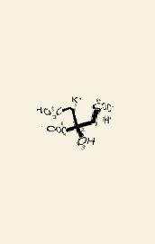 O=C([O-])CC(O)(CC(=O)O)C(=O)[O-].[H+].[K+]